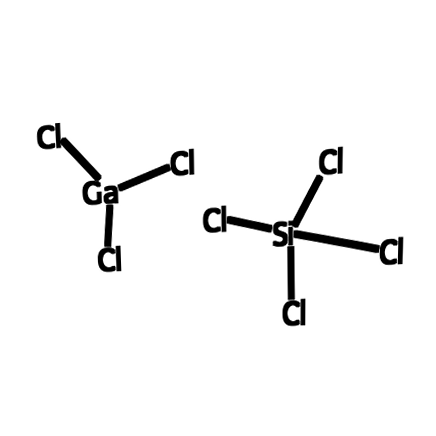 Cl[Si](Cl)(Cl)Cl.[Cl][Ga]([Cl])[Cl]